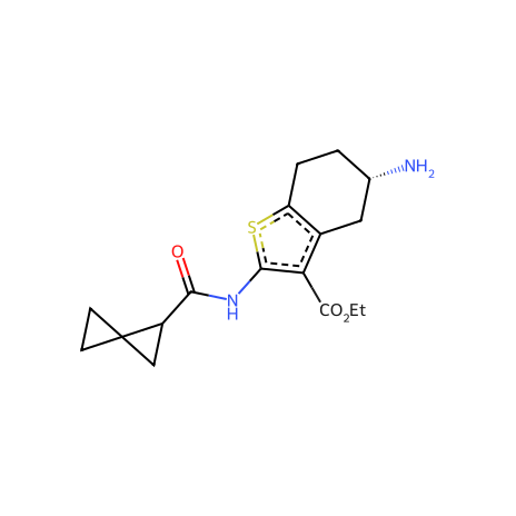 CCOC(=O)c1c(NC(=O)C2CC23CC3)sc2c1C[C@@H](N)CC2